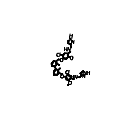 COc1cc(OCc2cccc(-c3cccc(COc4cc(OC)c(CNCc5cc[nH]n5)cc4Cl)c3C)c2C)c(Cl)cc1CNCc1cc[nH]n1